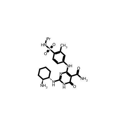 Cc1cc(Nc2nc(N[C@H]3CCCC[C@@H]3N)[nH]c(=O)c2C(N)=O)ccc1S(=O)(=O)NC(C)C